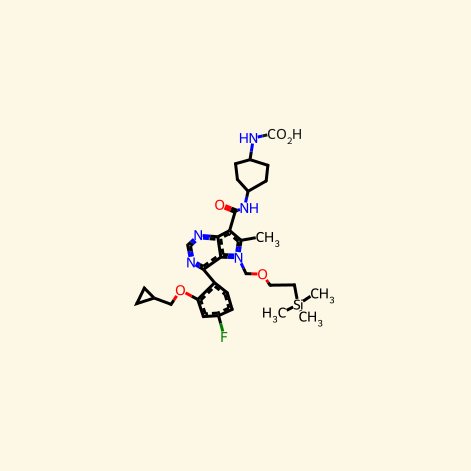 Cc1c(C(=O)NC2CCC(NC(=O)O)CC2)c2ncnc(-c3ccc(F)cc3OCC3CC3)c2n1COCC[Si](C)(C)C